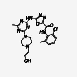 Cc1nc(Nc2nnc(C(=O)Nc3c(C)cccc3Cl)o2)nc(N2CCN(CCO)CC2)n1